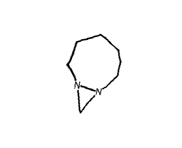 C1CCN2CN2CC1